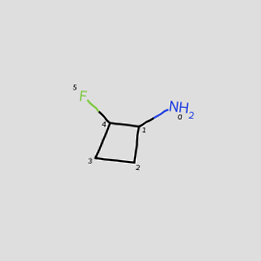 NC1CCC1F